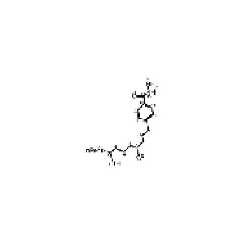 CCCCCC(O)CCCC(CCCc1ccc(C(=O)NN)cc1)C(C)=O